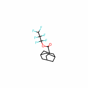 O=C(OC(F)(F)C(F)(F)C(F)F)C12CC3CC(CC(C3)C1)C2